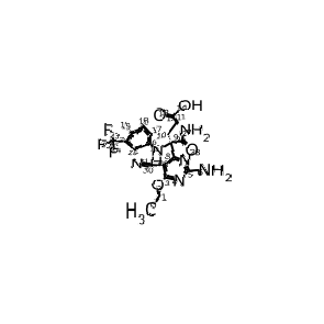 CCOc1nc(N)nc([C@@](CCC(=O)O)(Nc2cccc(C(F)(F)F)c2)C(N)=O)c1C#N